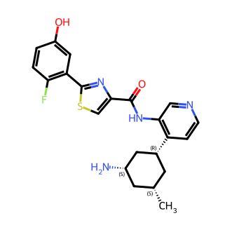 C[C@@H]1C[C@H](N)C[C@H](c2ccncc2NC(=O)c2csc(-c3cc(O)ccc3F)n2)C1